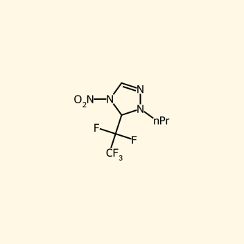 CCCN1N=CN([N+](=O)[O-])C1C(F)(F)C(F)(F)F